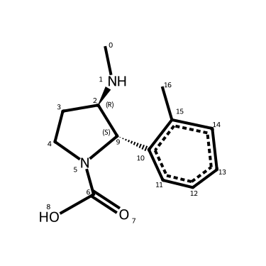 CN[C@@H]1CCN(C(=O)O)[C@H]1c1ccccc1C